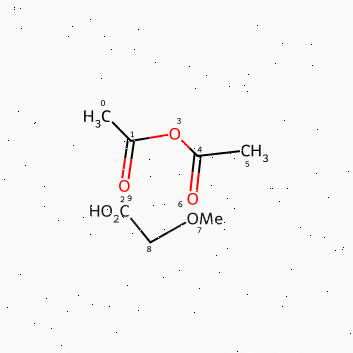 CC(=O)OC(C)=O.COCC(=O)O